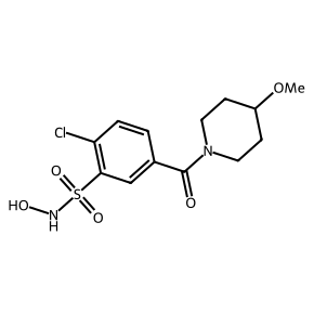 COC1CCN(C(=O)c2ccc(Cl)c(S(=O)(=O)NO)c2)CC1